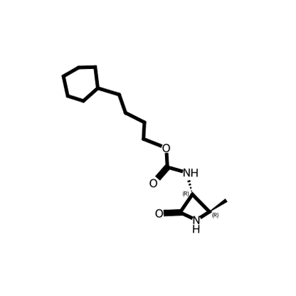 C[C@H]1NC(=O)[C@@H]1NC(=O)OCCCCC1CCCCC1